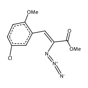 COC(=O)/C(=C/c1cc(Cl)ccc1OC)N=[N+]=[N-]